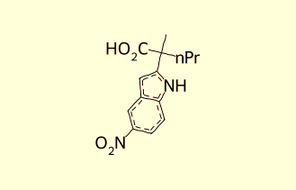 CCCC(C)(C(=O)O)c1cc2cc([N+](=O)[O-])ccc2[nH]1